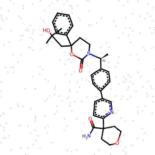 C[C@@H](c1ccc(-c2ccc(C3(C(N)=O)CCOCC3)nc2)cc1)N1CCC(CC(C)(C)O)(c2ccccc2)OC1=O